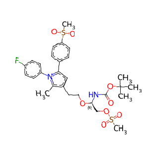 Cc1c(CCO[C@H](COS(C)(=O)=O)NC(=O)OC(C)(C)C)cc(-c2ccc(S(C)(=O)=O)cc2)n1-c1ccc(F)cc1